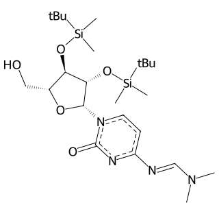 CN(C)/C=N/c1ccn([C@@H]2O[C@H](CO)[C@@H](O[Si](C)(C)C(C)(C)C)[C@@H]2O[Si](C)(C)C(C)(C)C)c(=O)n1